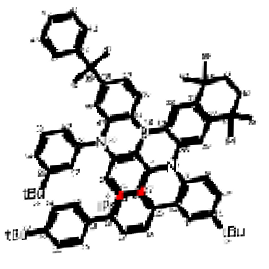 CC(C)c1cc2c3c(c1)N(c1ccc(C(C)(C)C)cc1-c1ccc(-c4ccc(C(C)(C)C)cc4)cc1)c1cc4c(cc1B3c1ccc(C(C)(C)c3ccccc3)cc1N2c1cccc(C(C)(C)C)c1)C(C)(C)CCC4(C)C